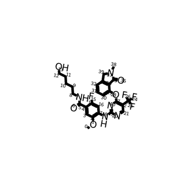 COc1cc(C(=O)NCCCCCO)c(F)cc1Nc1ncc(C(F)(F)F)c(Oc2cccc3c2C(=O)N(C)C3)n1